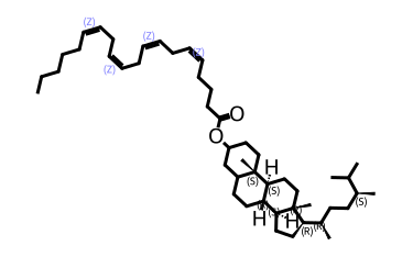 CCCCC/C=C\C/C=C\C/C=C\C/C=C\CCCC(=O)OC1CC[C@@]2(C)C(CC[C@H]3[C@@H]4CC[C@H]([C@H](C)CC[C@H](C)C(C)C)[C@@]4(C)CC[C@@H]32)C1